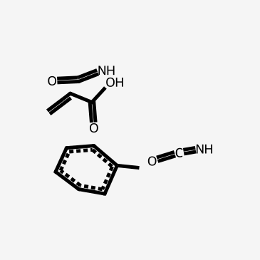 C=CC(=O)O.Cc1ccccc1.N=C=O.N=C=O